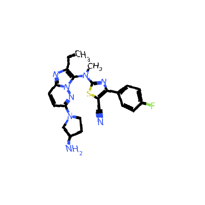 CCc1nc2ccc(N3CCC(N)C3)nn2c1N(C)c1nc(-c2ccc(F)cc2)c(C#N)s1